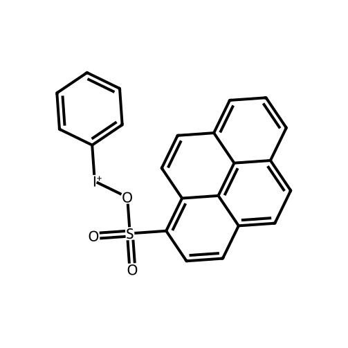 O=S(=O)(O[I+]c1ccccc1)c1ccc2ccc3cccc4ccc1c2c34